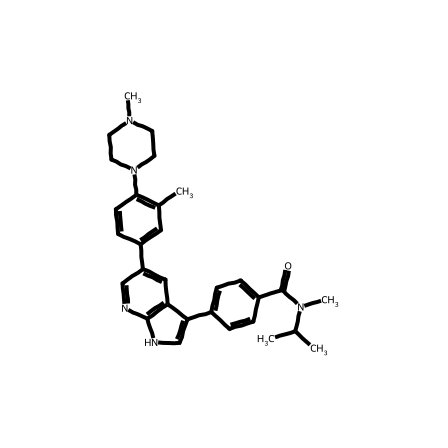 Cc1cc(-c2cnc3[nH]cc(-c4ccc(C(=O)N(C)C(C)C)cc4)c3c2)ccc1N1CCN(C)CC1